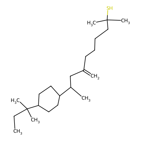 C=C(CCCCC(C)(C)S)CC(C)C1CCC(C(C)(C)CC)CC1